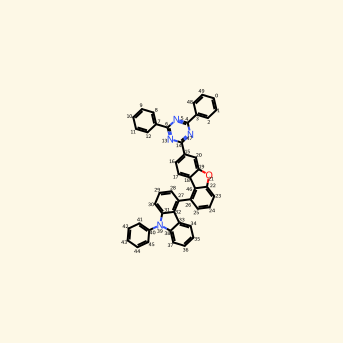 c1ccc(-c2nc(-c3ccccc3)nc(-c3ccc4c(c3)oc3cccc(-c5cccc6c5c5ccccc5n6-c5ccccc5)c34)n2)cc1